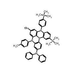 Cc1ccc(N2c3cc(N(c4ccccc4)c4ccccc4)ccc3B3c4cc([Si](C)(C)C)ccc4N(c4ccc([Si](C)(C)C)cc4)c4cc(C(C)(C)C)cc2c43)cc1